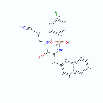 N#CCCNC(=O)C(Cc1ccc2ccccc2c1)NS(=O)(=O)c1ccc(Cl)cc1